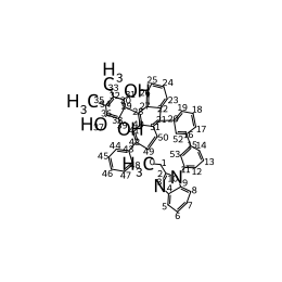 CCc1nc2ccccc2n1-c1cccc(-c2cccc(-c3c4ccccc4c(-c4c(O)c(C)c(C)c(O)c4O)c4cc(-c5ccccc5)ccc34)c2)c1